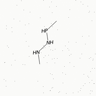 CNNPC